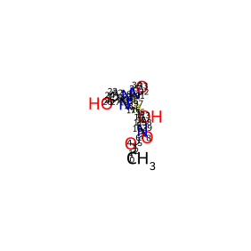 C/C=C/C(=O)CCC(=O)N1CCC(O)(CCc2cc3nc(-c4cccc(O)c4)nc(N4CCOCC4)c3s2)CC1